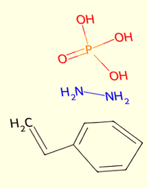 C=Cc1ccccc1.NN.O=P(O)(O)O